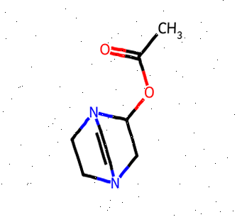 CC(=O)OC1CN2C=CN1CC2